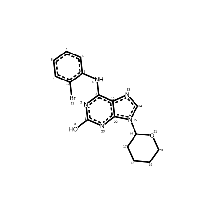 Oc1nc(Nc2ccccc2Br)c2ncn(C3CCCCO3)c2n1